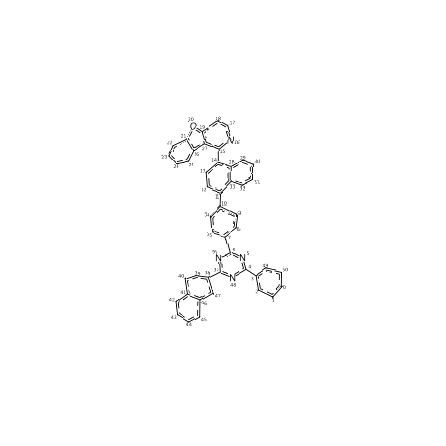 c1ccc(-c2nc(-c3ccc(-c4ccc(-c5nccc6oc7ccccc7c56)c5ccccc45)cc3)nc(-c3ccc4ccccc4c3)n2)cc1